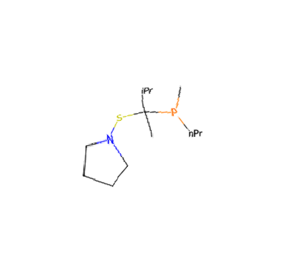 CCCP(C)C(C)(SN1CCCC1)C(C)C